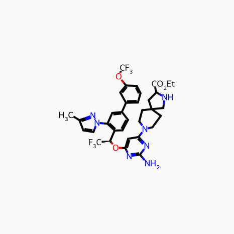 CCOC(=O)C1CC2(CCN(c3cc(O[C@H](c4ccc(-c5cccc(OC(F)(F)F)c5)cc4-n4ccc(C)n4)C(F)(F)F)nc(N)n3)CC2)CN1